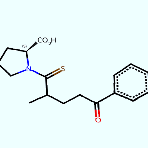 CC(CCC(=O)c1ccccc1)C(=S)N1CCC[C@H]1C(=O)O